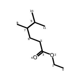 CCOC(=O)CCC(C)C(C)C